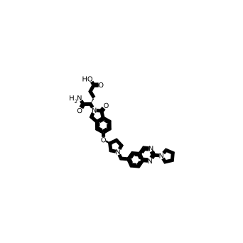 NC(=O)[C@H](CCC(=O)O)N1Cc2cc(O[C@H]3CCN(Cc4ccc5nc(N6CCCC6)ncc5c4)C3)ccc2C1=O